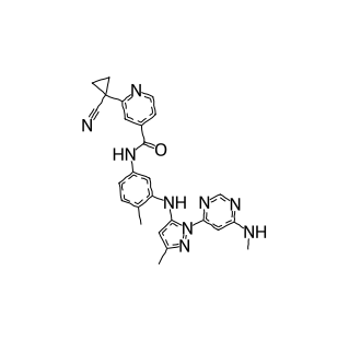 CNc1cc(-n2nc(C)cc2Nc2cc(NC(=O)c3ccnc(C4(C#N)CC4)c3)ccc2C)ncn1